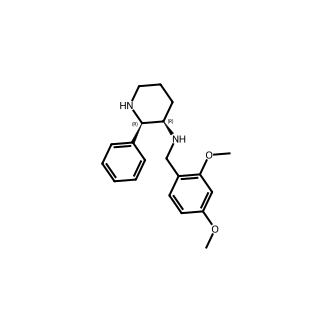 COc1ccc(CN[C@@H]2CCCN[C@@H]2c2ccccc2)c(OC)c1